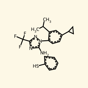 CC(C)c1cc(C2CC2)ccc1-n1nc(C(F)(F)F)nc1N.Sc1ccccc1